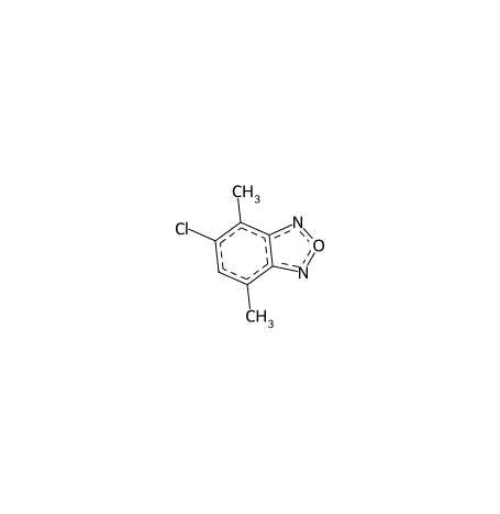 Cc1cc(Cl)c(C)c2nonc12